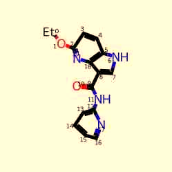 CCOc1ccc2[nH]cc(C(=O)Nc3ccccn3)c2n1